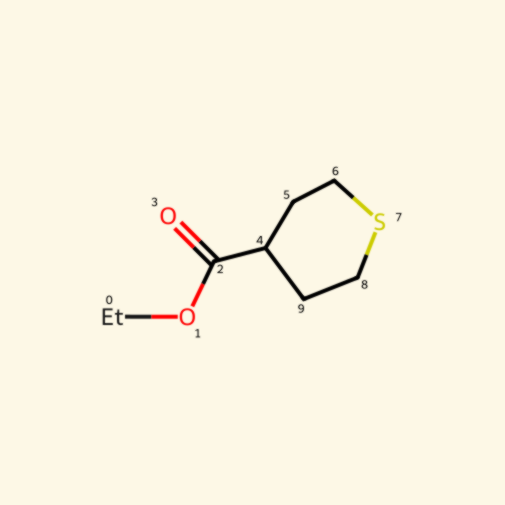 CCOC(=O)C1CCSCC1